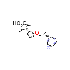 C[C@H](C(=O)O)[C@H](c1cccc(OCC2C[C@@H]2C2=C/C=C\C=C/C=C\2)c1)C1CC1